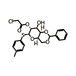 Cc1ccc(S[C@@H]2O[C@@H]3COC(c4ccccc4)O[C@@H]3[C@H](O)[C@H]2OC(=O)CCl)cc1